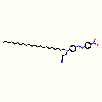 CCCCCCCCCCCCCCCCCCCCCCN(CCC#N)c1ccc(/N=N/c2ccc([N+](=O)[O-])cc2)cc1